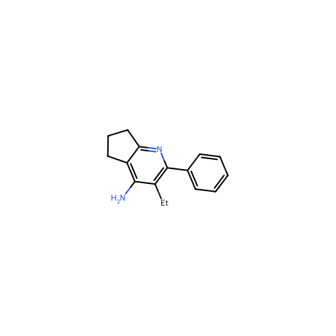 CCc1c(-c2ccccc2)nc2c(c1N)CCC2